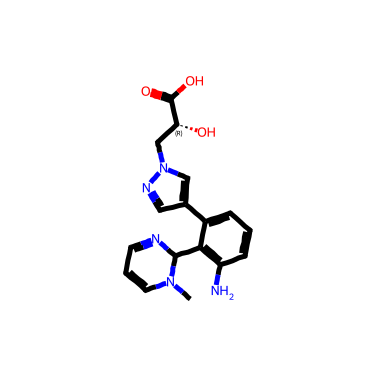 CN1C=CC=NC1c1c(N)cccc1-c1cnn(C[C@@H](O)C(=O)O)c1